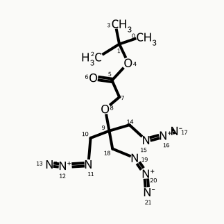 CC(C)(C)OC(=O)COC(CN=[N+]=[N-])(CN=[N+]=[N-])CN=[N+]=[N-]